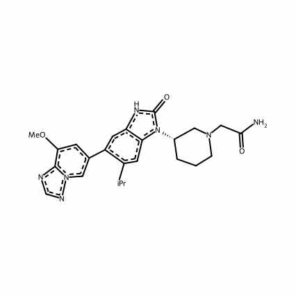 COc1cc(-c2cc3[nH]c(=O)n([C@H]4CCCN(CC(N)=O)C4)c3cc2C(C)C)cn2ncnc12